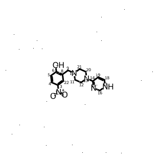 O=[N+]([O-])c1ccc(O)c(CN2CCN(C3=NCNC=C3)CC2)c1